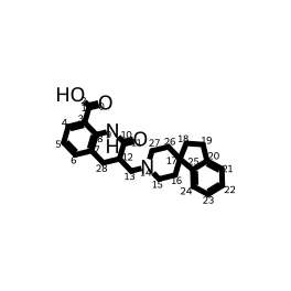 O=C(O)c1cccc2c1NC(=O)C(CN1CCC3(CCc4ccccc43)CC1)C2